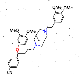 COc1ccc(CCN2CC3CC(CN(CCCC(Oc4ccc(OC)c(OC)c4)c4ccc(C#N)cc4)C3)C2)cc1OC